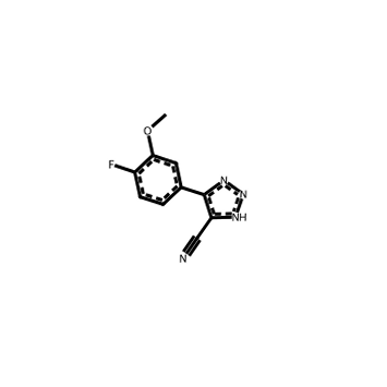 COc1cc(-c2nn[nH]c2C#N)ccc1F